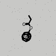 CCC(=O)O[C]12[CH]3[CH]4[CH]5[CH]1[Fe]45321678[CH]2[CH]1[CH]6[CH]7[CH]28